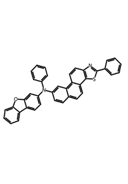 c1ccc(-c2nc3ccc4c5cc(N(c6ccccc6)c6ccc7c(c6)oc6ccccc67)ccc5ccc4c3s2)cc1